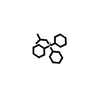 C[C](C)C[PH](C1CCCCC1)(C1CCCCC1)C1CCCCC1